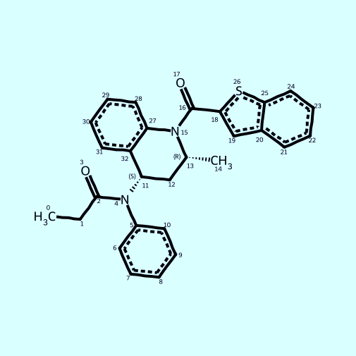 CCC(=O)N(c1ccccc1)[C@H]1C[C@@H](C)N(C(=O)c2cc3ccccc3s2)c2ccccc21